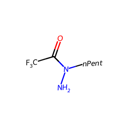 CCCCCN(N)C(=O)C(F)(F)F